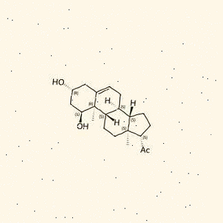 CC(=O)[C@H]1CC[C@H]2[C@@H]3CC=C4C[C@@H](O)C[C@H](O)[C@]4(C)[C@H]3CC[C@]12C